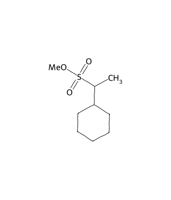 COS(=O)(=O)C(C)C1CCCCC1